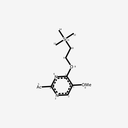 COc1cnc(C(C)=O)nc1OCC[Si](C)(C)C